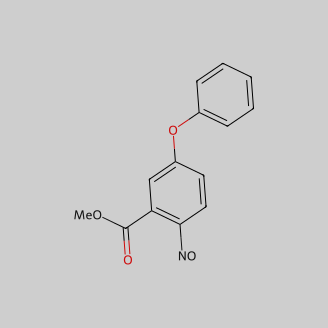 COC(=O)c1cc(Oc2ccccc2)ccc1N=O